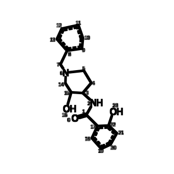 O=C(NC1CCN(Cc2ccccc2)CC1O)c1ccccc1O